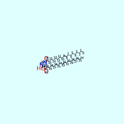 CCCCCCCCC=CCCCCCCCC(=O)N1C=NCC1.CCCCCCCCC=CCCCCCCCC(=O)O